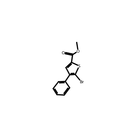 COC(=O)c1cc(-c2ccccc2)c(Br)s1